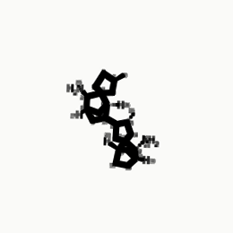 C[C@@H]1CCC2(C1)[C@@H]1C[C@@H](CC1C1CC3(C[C@H]1C)[C@H]1CC[C@H](C1)[C@H]3N)[C@H]2N